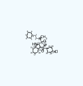 CN(CCc1ccccc1)C(=O)c1[nH]c2ccccc2c1S(=O)(=O)c1ccc(Cl)cc1